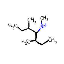 CCC(C)C(NC)C(C)CC